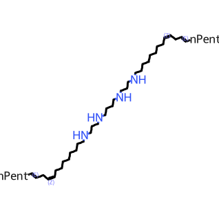 CCCCC/C=C/C/C=C\CCCCCCCCNCCCNCCCCNCCCNCCCCCCCC/C=C\C/C=C/CCCCC